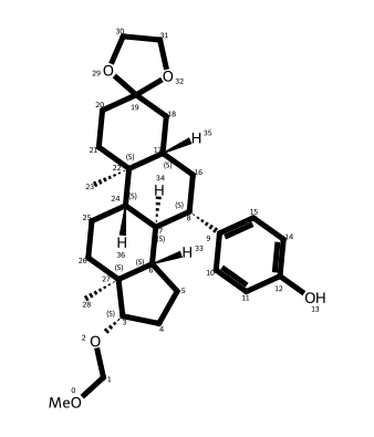 COCO[C@H]1CC[C@H]2[C@@H]3[C@@H](c4ccc(O)cc4)C[C@H]4CC5(CC[C@]4(C)[C@H]3CC[C@]12C)OCCO5